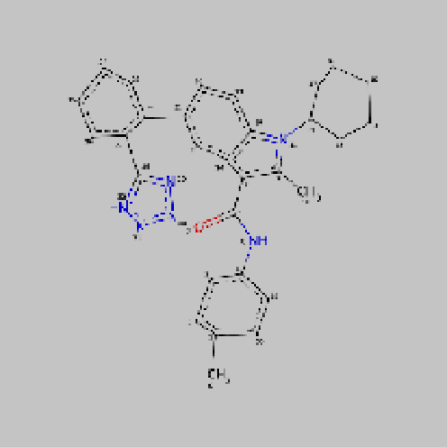 Cc1ccc(NC(=O)c2c(C)n(C3CCCCC3)c3ccc(-c4ccccc4-c4nnn[nH]4)cc23)cc1